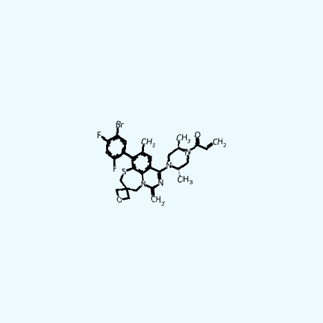 C=CC(=O)N1C[C@H](C)N(C2=NC(=C)N3CC4(COC4)CSc4c(-c5cc(Br)c(F)cc5F)c(C)cc2c43)C[C@H]1C